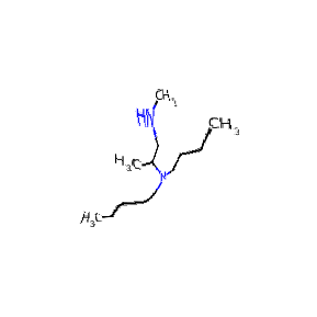 CCCCN(CCCC)C(C)CNC